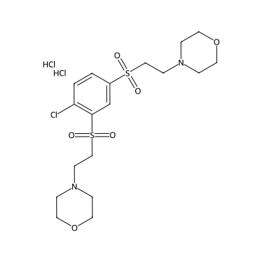 Cl.Cl.O=S(=O)(CCN1CCOCC1)c1ccc(Cl)c(S(=O)(=O)CCN2CCOCC2)c1